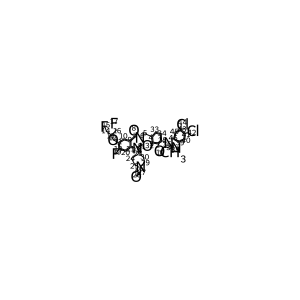 COc1cc(Cn2c(=O)c3cc(OC(CF)CF)c(F)cc3n(C3CCN(C=O)CC3)c2=O)ccc1-n1cnc2cc(Cl)c(Cl)cc21